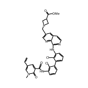 C=Cc1cc(C(=O)Nc2cccc(-c3cccc(Nc4nccc5cc(CN6CC(C(=O)OC)C6)cnc45)c3Cl)c2Cl)c(=O)n(C)c1